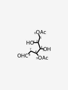 CC(=O)OCC(O)C(O)C(CC=O)OC(C)=O